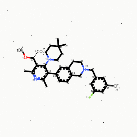 Cc1nc(C)c([C@H](OC(C)(C)C)C(=O)O)c(N2CCC(C)(C)CC2)c1-c1ccc2c(c1)CCN(Cc1cc(F)cc(C(F)(F)F)c1)C2